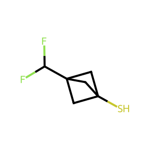 FC(F)C12CC(S)(C1)C2